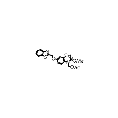 COC(=O)N(COC(C)=O)c1ccc(OCc2nc3ccccc3s2)cc1C